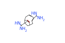 N=C(N)C1=C\CC2CCC(C/C=C\1)c1cc(C(=N)N)ccc12